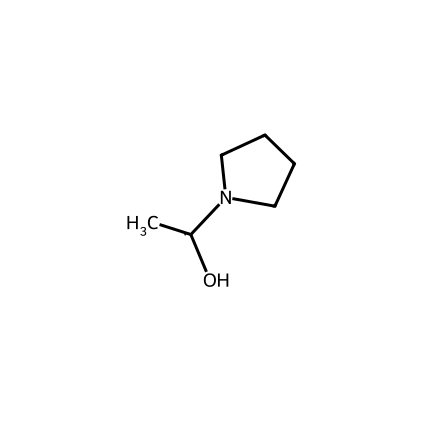 C[C](O)N1CCCC1